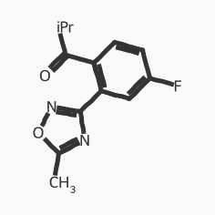 Cc1nc(-c2cc(F)ccc2C(=O)C(C)C)no1